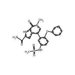 Cn1cc(-c2cc(NS(C)(=O)=O)ccc2Oc2ccccc2)c2cc(C(N)=O)[nH]c2c1=O